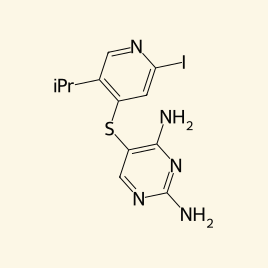 CC(C)c1cnc(I)cc1Sc1cnc(N)nc1N